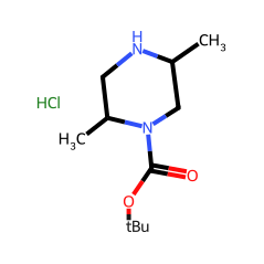 CC1CN(C(=O)OC(C)(C)C)C(C)CN1.Cl